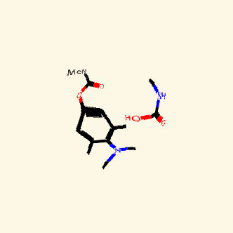 CNC(=O)O.CNC(=O)Oc1cc(C)c(N(C)C)c(C)c1